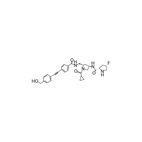 O=C(NC[C@H]1C[C@@H](NC(=O)[C@@H]2C[C@H](F)CN2)CN1C(=O)C1CC1)c1ccc(C#Cc2ccc(CO)cc2)cc1